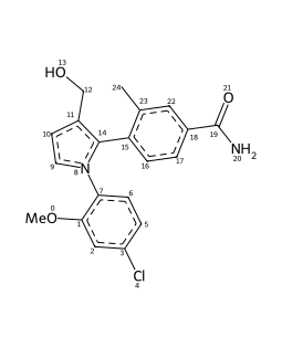 COc1cc(Cl)ccc1-n1ccc(CO)c1-c1ccc(C(N)=O)cc1C